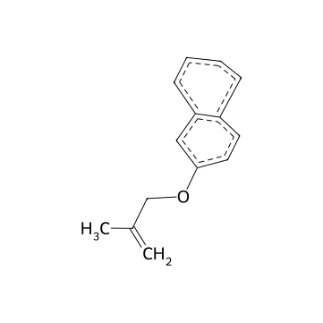 C=C(C)COc1ccc2ccccc2c1